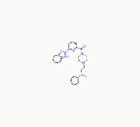 O=C(CCN1CCN(C(=O)c2cccc(-c3nc4ccccc4[nH]3)n2)CC1)c1ccccc1